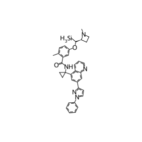 Cc1ccc(OC([SiH3])[C@@H]2CCN2C)cc1C(=O)NC1(c2cc(-c3ccn(-c4ccccc4)n3)cc3ncccc23)CC1